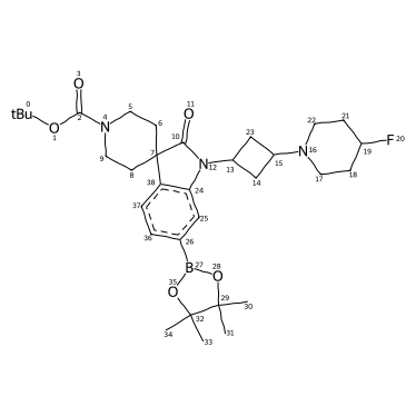 CC(C)(C)OC(=O)N1CCC2(CC1)C(=O)N(C1CC(N3CCC(F)CC3)C1)c1cc(B3OC(C)(C)C(C)(C)O3)ccc12